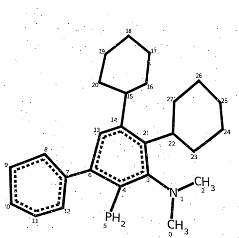 CN(C)c1c(P)c(-c2ccccc2)cc(C2CCCCC2)c1C1CCCCC1